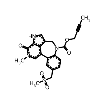 CC#CCOC(=O)N1Cc2c[nH]c3c(=O)n(C)cc(c23)-c2cc(CS(C)(=O)=O)ccc21